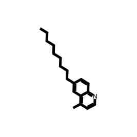 CCCCCCCCCc1ccc2nccc(C)c2c1